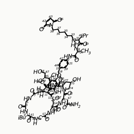 CC[C@H](C)[C@@H]1NC(=O)CNC(=O)[C@H]2Cc3c([nH]c4cc(OCc5ccc(NC(=O)[C@H](C)NC(=O)C(NCCCCCCN6C(=O)C=CC6=O)C(C)C)cc5)ccc34)[S+]([O-])C[C@H](NC(=O)CNC1=O)C(=O)N[C@@H](CC(N)=O)C(=O)N1C[C@H](O)C[C@H]1C(=O)N[C@@H]([C@@H](C)[C@@H](O)CO)C(=O)N2